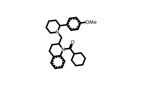 COc1ccc(C2CCCCN2CC2CCc3ccccc3N2C(=O)C2CCCCC2)cc1